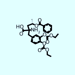 CCOC(=O)Oc1ccc(CC(N)(C[C@H](C)OC(=O)c2ccccc2)C(=O)O)cc1OC(=O)OCC